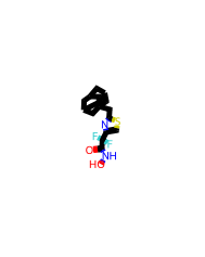 O=C(NO)C(F)(F)c1csc(CC23CC4CC(CC(C4)C2)C3)n1